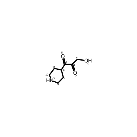 O=C(CO)C(=O)C1CCNCC1